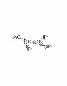 CC(C)OCCOCC(COCCOCC(COCCOC(C)C)OCCOC(C)C)OCCOC(C)C